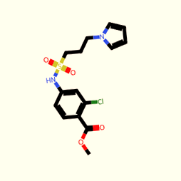 COC(=O)c1ccc(NS(=O)(=O)CCCn2cccc2)cc1Cl